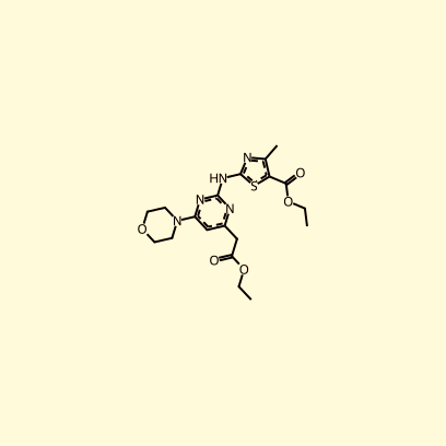 CCOC(=O)Cc1cc(N2CCOCC2)nc(Nc2nc(C)c(C(=O)OCC)s2)n1